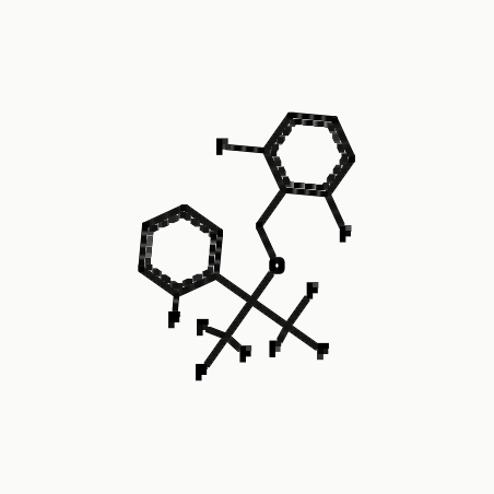 Fc1ccccc1C(OCc1c(F)cccc1F)(C(F)(F)F)C(F)(F)F